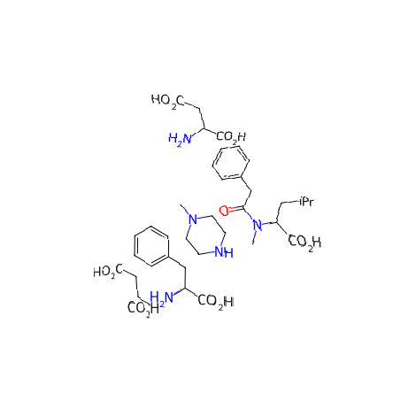 CC(C)CC(C(=O)O)N(C)C(=O)Cc1ccccc1.CN1CCNCC1.NC(CC(=O)O)C(=O)O.NC(Cc1ccccc1)C(=O)O.O=C(O)CCC(=O)O